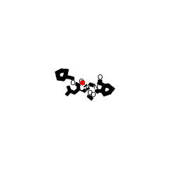 CCOP(=O)(C[C@@H](CC(C)C)C(=O)OCc1ccccc1)CN1C(=O)c2ccccc2C1=O